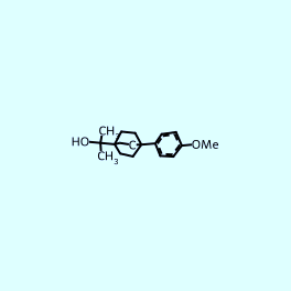 COc1ccc(C23CCC(C(C)(C)O)(CC2)CC3)cc1